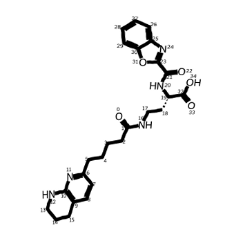 O=C(CCCCc1ccc2c(n1)NCCC2)NCC[C@H](NC(=O)c1nc2ccccc2o1)C(=O)O